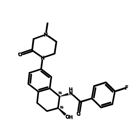 CN1CCN(c2ccc3c(c2)[C@H](NC(=O)c2ccc(F)cc2)[C@@H](O)CC3)C(=O)C1